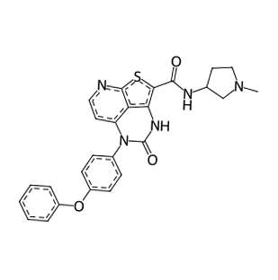 CN1CCC(NC(=O)c2sc3nccc4c3c2NC(=O)N4c2ccc(Oc3ccccc3)cc2)C1